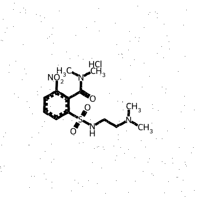 CN(C)CCNS(=O)(=O)c1cccc([N+](=O)[O-])c1C(=O)N(C)C.Cl